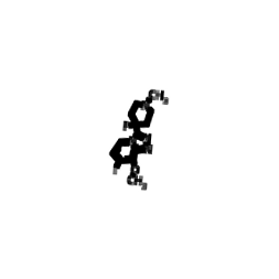 COc1c(I)ccn2c(C3(F)CCN(C)CC3)nnc12